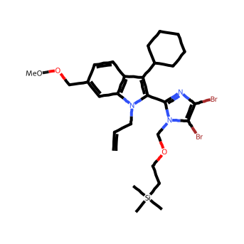 C=CCn1c(-c2nc(Br)c(Br)n2COCC[Si](C)(C)C)c(C2CCCCC2)c2ccc(COOC)cc21